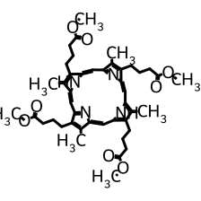 COC(=O)CCCC1=C(C)c2cc3[nH]c(cc4nc(cc5[nH]c(cc1n2)c(C)c5CCCC(=O)OC)C(C)=C4CCCC(=O)OC)c(C)c3CCCC(=O)OC